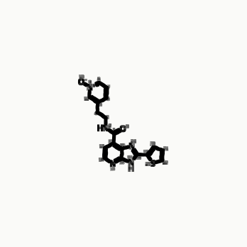 O=C(NCCc1ccc[n+]([O-])c1)c1ccnc2[nH]c(-c3cccs3)nc12